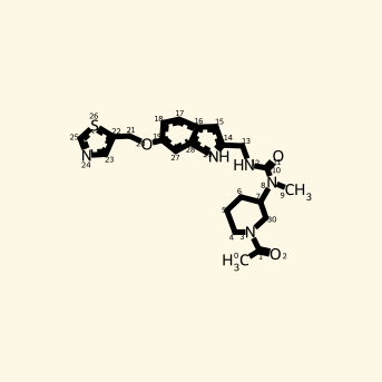 CC(=O)N1CCCC(N(C)C(=O)NCc2cc3ccc(OCc4cncs4)cc3[nH]2)C1